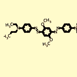 CCCN(CC)c1ccc(/N=N/c2cc(OC)c(/N=N/c3ccc([N+](=O)[O-])cc3)cc2OC)cc1